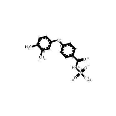 Cc1ccc(Oc2ccc(C(=O)NS(C)(=O)=O)cc2)cc1C